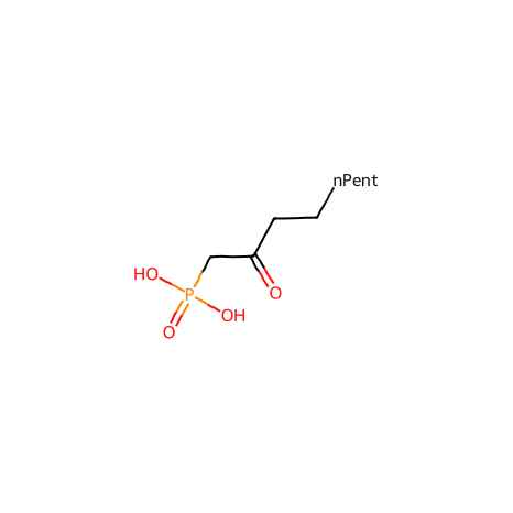 CCCCCCCC(=O)CP(=O)(O)O